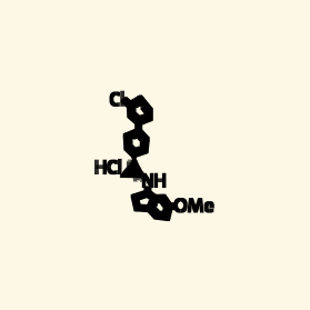 COc1ccc2c(c1)C(N[C@@H]1C[C@H]1c1ccc(-c3cccc(Cl)c3)cc1)CC2.Cl